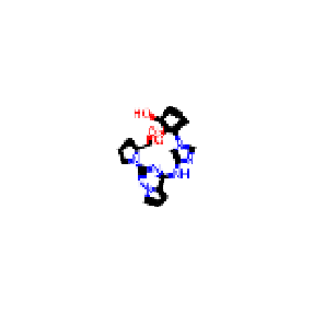 OC[C@@H]1CCCN1c1nc(Nc2cn(-c3cccc(O)c3O)cn2)c2cccn2n1